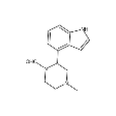 CN1CCN(C=O)C(c2cccc3[nH]ccc23)C1